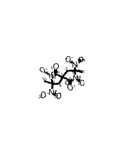 CC(CC([C]=O)(C=O)CC(C)([N+](=O)[O-])[N+](=O)[O-])([N+](=O)[O-])[N+](=O)[O-]